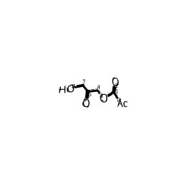 CC(=O)C(=O)OCC(=O)CO